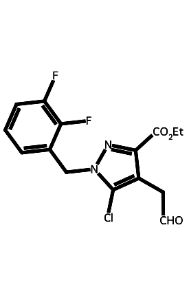 CCOC(=O)c1nn(Cc2cccc(F)c2F)c(Cl)c1CC=O